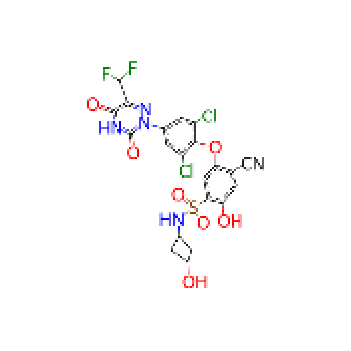 N#Cc1cc(O)c(S(=O)(=O)NC2CC(O)C2)cc1Oc1c(Cl)cc(-n2nc(C(F)F)c(=O)[nH]c2=O)cc1Cl